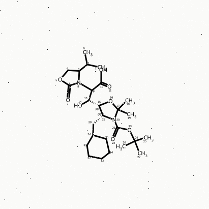 CC(C)C1COC(=O)N1C(C(=O)O)C(O)[C@@H]1OC(C)(C)N(C(=O)OC(C)(C)C)[C@@H]1CC1CCCCC1